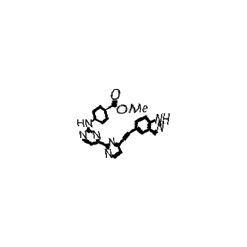 COC(=O)[C@H]1CC[C@@H](Nc2nccc(-c3nccc(C#Cc4ccc5[nH]ncc5c4)n3)n2)CC1